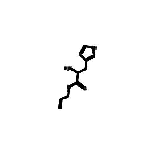 C=CCOC(=O)C(N)Cc1c[nH]cn1